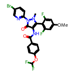 COc1cc(F)c(-c2c(NC(=O)c3ccc(OC(F)F)cc3)c(=O)n(-c3ccc(Br)cn3)n2C)c(F)c1